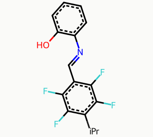 CC(C)c1c(F)c(F)c(C=Nc2ccccc2O)c(F)c1F